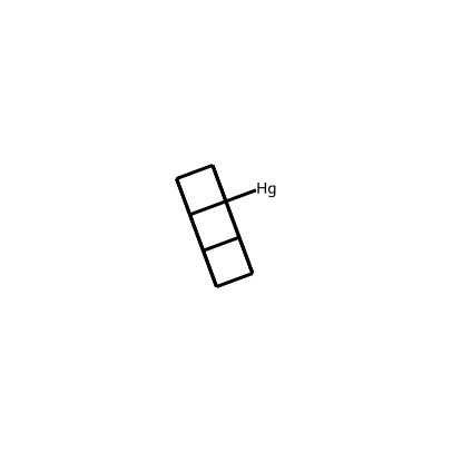 [Hg][C]12C3C4C5C3C1C5C42